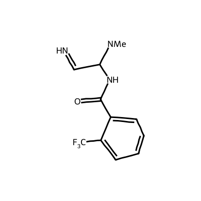 CNC(C=N)NC(=O)c1ccccc1C(F)(F)F